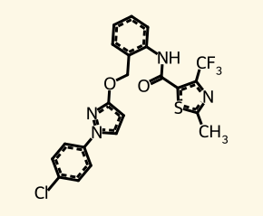 Cc1nc(C(F)(F)F)c(C(=O)Nc2ccccc2COc2ccn(-c3ccc(Cl)cc3)n2)s1